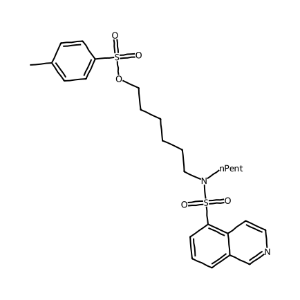 CCCCCN(CCCCCCOS(=O)(=O)c1ccc(C)cc1)S(=O)(=O)c1cccc2cnccc12